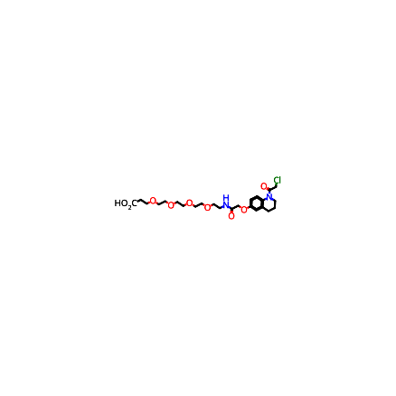 O=C(O)CCOCCOCCOCCOCCNC(=O)COc1ccc2c(c1)CCCN2C(=O)CCl